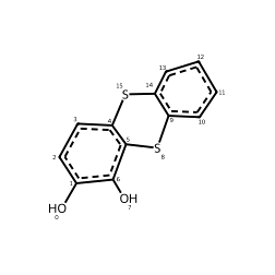 Oc1ccc2c(c1O)Sc1ccccc1S2